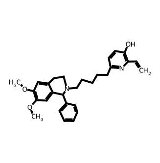 C=Cc1nc(CCCCCN2CCc3cc(OC)c(OC)cc3C2c2ccccc2)ccc1O